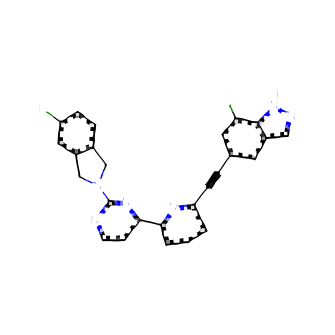 Fc1ccc2c(c1)CN(c1nccc(-c3cccc(C#Cc4cc(F)c5[nH]ncc5c4)n3)n1)C2